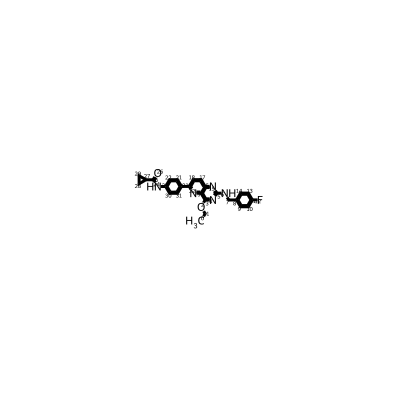 CCOc1nc(NCc2ccc(F)cc2)nc2ccc(-c3ccc(NC(=O)C4CC4)cc3)nc12